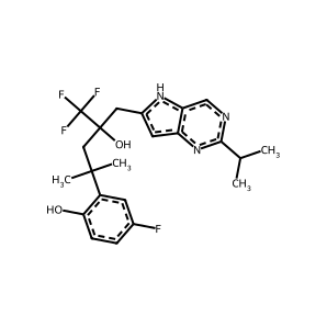 CC(C)c1ncc2[nH]c(CC(O)(CC(C)(C)c3cc(F)ccc3O)C(F)(F)F)cc2n1